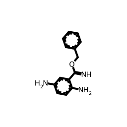 N=C(OCc1ccccc1)c1cc(N)ccc1N